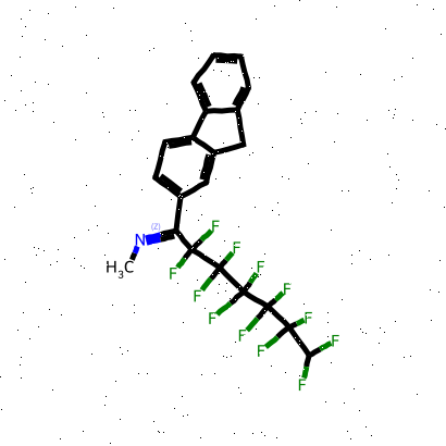 C/N=C(/c1ccc2c(c1)Cc1ccccc1-2)C(F)(F)C(F)(F)C(F)(F)C(F)(F)C(F)(F)C(F)F